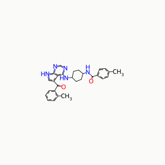 Cc1ccc(C(=O)NC2CCC(Nc3ncnc4[nH]cc(C(=O)c5ccccc5C)c34)CC2)cc1